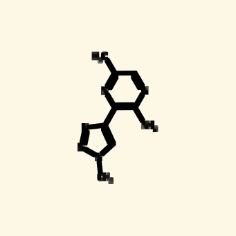 Cc1cnc(N)c(-c2cn(C)nn2)n1